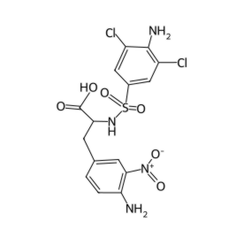 Nc1ccc(CC(NS(=O)(=O)c2cc(Cl)c(N)c(Cl)c2)C(=O)O)cc1[N+](=O)[O-]